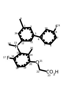 Cc1cc(-c2cccc(F)c2)cc(N(C)c2c(F)ccc(OCC(=O)O)c2C)c1